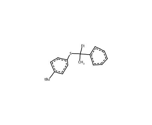 CCC(C)(Sc1ccc(C(C)(C)C)cc1)c1ccccc1